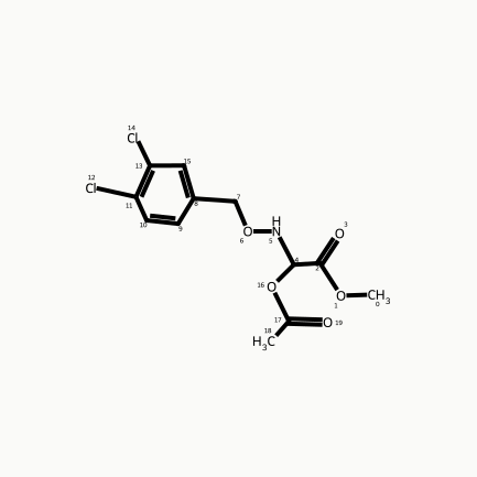 COC(=O)C(NOCc1ccc(Cl)c(Cl)c1)OC(C)=O